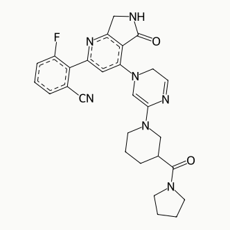 N#Cc1cccc(F)c1-c1cc(N2C=C(N3CCCC(C(=O)N4CCCC4)C3)N=CC2)c2c(n1)CNC2=O